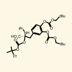 CCC(C)(C)OC(=O)O[C@](Cc1ccc(OC(=O)OCC(C)(C)C)c(OC(=O)OCC(C)(C)C)c1)(NC(C)C)C(=O)O